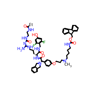 CCC(=O)NCCNC(=O)/N=C(/N)NCCC[C@@H](NC(=O)[C@H](c1ccc(OCCCN(C)CCCCCNC(=O)OCC2c3ccccc3-c3ccccc32)cc1)N1Cc2ccccc2C1)C(=O)NCc1c(F)cc(O)cc1F